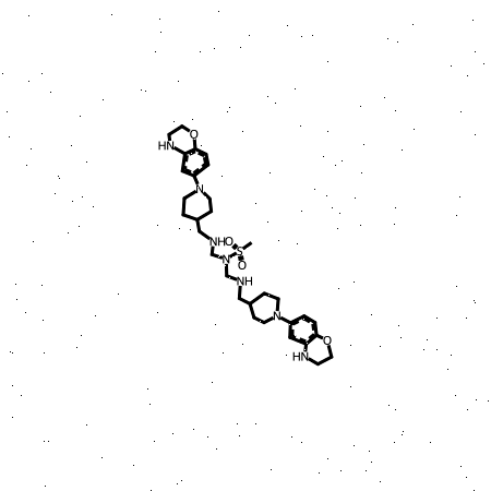 CS(=O)(=O)N(CNCC1CCN(c2ccc3c(c2)NCCO3)CC1)CNCC1CCN(c2ccc3c(c2)NCCO3)CC1